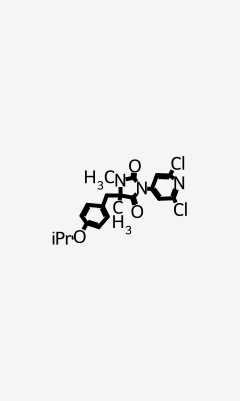 CC(C)Oc1ccc(CC2(C)C(=O)N(c3cc(Cl)nc(Cl)c3)C(=O)N2C)cc1